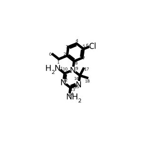 CCc1ccc(Cl)cc1N1C(N)=NC(N)=NC1(C)C